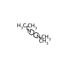 CC(C)CN1CCC2(CC1)CCN(C(C)C)CC2